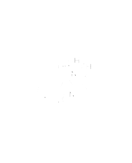 CCN(C(=O)O)c1cc(-c2ccccc2)c(=O)n2c1-c1sccc1CC2